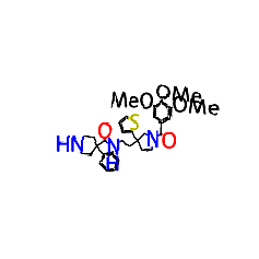 COc1cc(C(=O)N2CCC(CCNC(=O)C3(c4ccccc4)CCNCC3)(c3cccs3)C2)cc(OC)c1OC